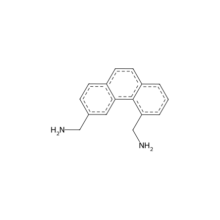 NCc1ccc2ccc3cccc(CN)c3c2c1